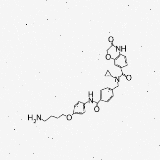 NCCCCOc1ccc(NC(=O)c2ccc(CN(C(=O)c3ccc4c(c3)OCC(=O)N4)C3CC3)cc2)cc1